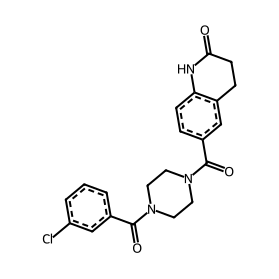 O=C1CCc2cc(C(=O)N3CCN(C(=O)c4cccc(Cl)c4)CC3)ccc2N1